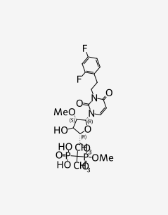 CO[C@H]1C(O)[C@@H](COP(=O)(OC)C(C)(C)P(=O)(O)O)O[C@H]1n1ccc(=O)n(CCc2ccc(F)cc2F)c1=O